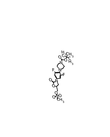 CC(C)(C)OC(=O)N1CCN(c2c(F)cc(N3CC(COS(C)(=O)=O)OC3=O)cc2F)CC1